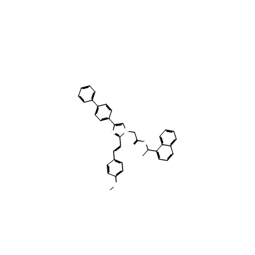 COc1ccc(C=Cc2nc(-c3ccc(-c4ccccc4)cc3)cn2CC(=O)NC(C)c2cccc3ccccc23)cc1